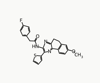 COc1ccc2c(c1)CCc1nc(NC(=O)Cc3ccc(F)cc3)c(-c3cccs3)nc1-2